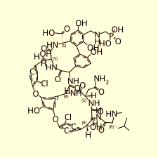 CN[C@H](CC(C)C)C(=O)N[C@H]1C(=O)N[C@@H](CC(N)=O)C(=O)N[C@H]2C(=O)NC3C(=O)N[C@H](C(=O)N[C@H](C(=O)O)c4cc(O)c(CNCP(=O)(O)O)c(O)c4-c4cc3ccc4O)[C@H](O)c3ccc(c(Cl)c3)Oc3cc2cc(c3O)Oc2ccc(cc2Cl)[C@H]1O